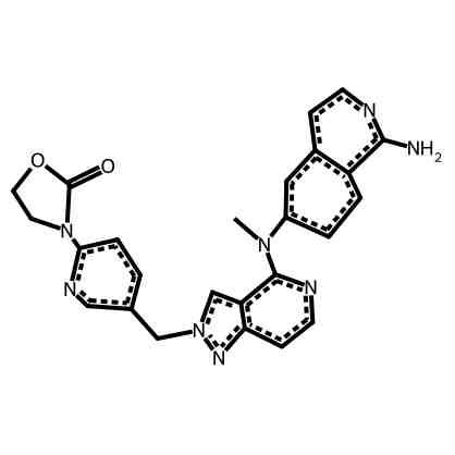 CN(c1ccc2c(N)nccc2c1)c1nccc2nn(Cc3ccc(N4CCOC4=O)nc3)cc12